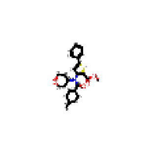 COC(=O)c1sc(-c2ccccc2)cc1N(C(=O)C1CCC(C)CC1)C1CCOCC1